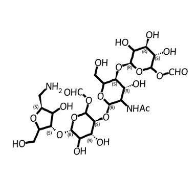 CC(=O)NC1[C@@H](O[C@@H]2C(OC=O)O[C@@H](O[C@@H]3C(CO)O[C@@H](CN)C3O)C(O)[C@H]2O)OC(CO)[C@@H](O[C@@H]2OC(OC=O)[C@@H](O)[C@H](O)C2O)[C@@H]1O